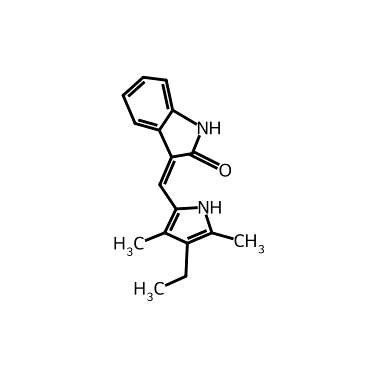 CCc1c(C)[nH]c(C=C2C(=O)Nc3ccccc32)c1C